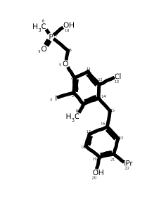 Cc1c(I)c(OCP(C)(=O)O)cc(Cl)c1Cc1ccc(O)c(C(C)C)c1